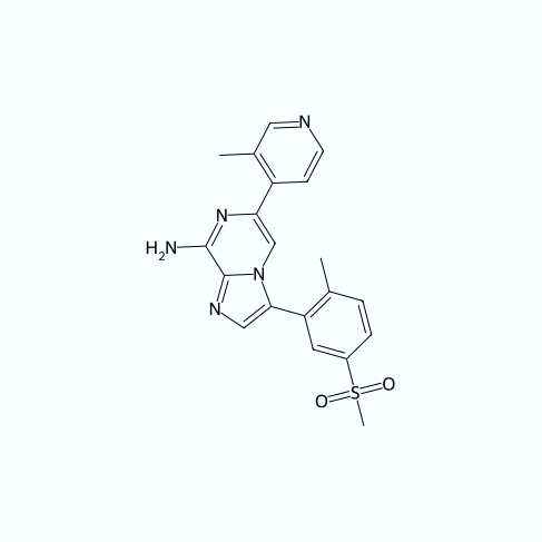 Cc1cnccc1-c1cn2c(-c3cc(S(C)(=O)=O)ccc3C)cnc2c(N)n1